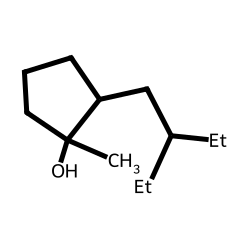 CCC(CC)CC1CCCC1(C)O